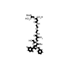 CNC(CSC(CC(=O)NCCOCCNC(=O)C(N)CCN(C(=O)CO)C(c1cc(-c2cc(F)ccc2F)cn1Cc1ccccc1)C(C)(C)C)C(=O)O)C(=O)O